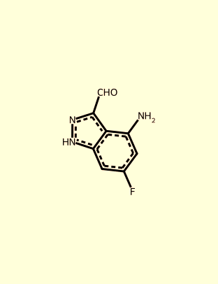 Nc1cc(F)cc2[nH]nc(C=O)c12